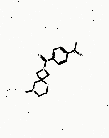 CC(C)C(C)c1ccc(C(=O)N2CC3(CN(C)CCO3)C2)cc1